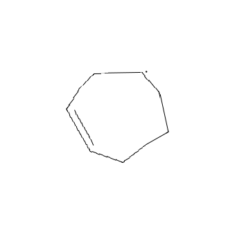 [CH]1CC=CCCC1